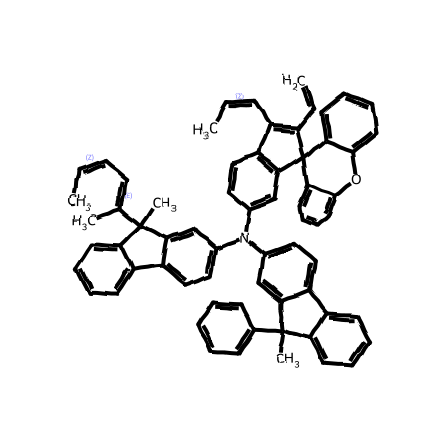 C=CC1=C(/C=C\C)c2ccc(N(c3ccc4c(c3)C(C)(/C(C)=C/C=C\C)c3ccccc3-4)c3ccc4c(c3)C(C)(c3ccccc3)c3ccccc3-4)cc2C12c1ccccc1Oc1ccccc12